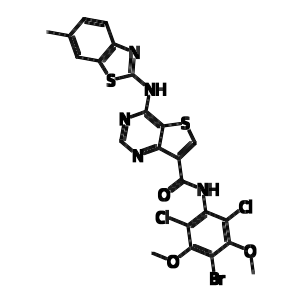 COc1c(Cl)c(NC(=O)c2csc3c(Nc4nc5ccc(C)cc5s4)ncnc23)c(Cl)c(OC)c1Br